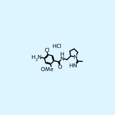 COc1cc(N)c(Cl)cc1C(=O)NCC1CCCN1C(C)=N.Cl